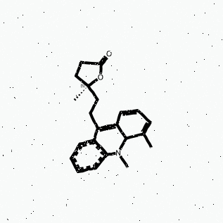 CC1=CC=CC2=C(CC[C@@]3(C)CCC(=O)O3)c3ccccc3N(C)C12